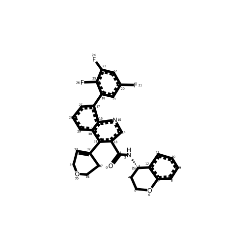 O=C(N[C@H]1CCOc2ccccc21)c1cnc2c(-c3cc(F)cc(F)c3F)cccc2c1C1=CCOCC1